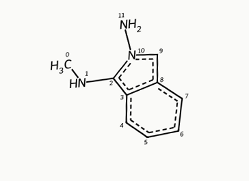 CNc1c2ccccc2cn1N